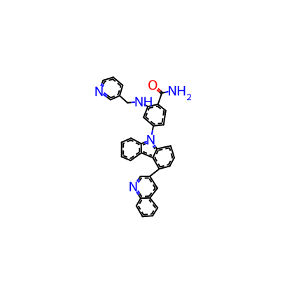 NC(=O)c1ccc(-n2c3ccccc3c3c(-c4cnc5ccccc5c4)cccc32)cc1NCc1cccnc1